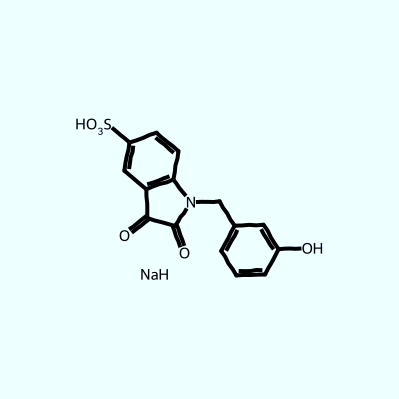 O=C1C(=O)N(Cc2cccc(O)c2)c2ccc(S(=O)(=O)O)cc21.[NaH]